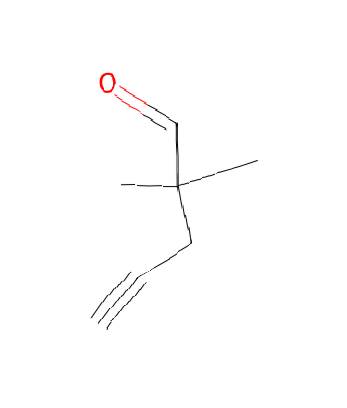 C#CCC(C)(C)C=O